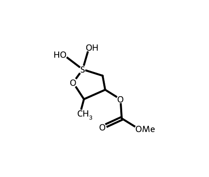 COC(=O)OC1CS(O)(O)OC1C